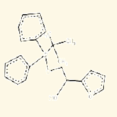 CC(C)(C)[Si](OCC(O)c1ccco1)(c1ccccc1)c1ccccc1